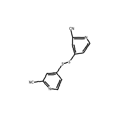 N#Cc1cc(SSc2ccnc(C#N)c2)ccn1